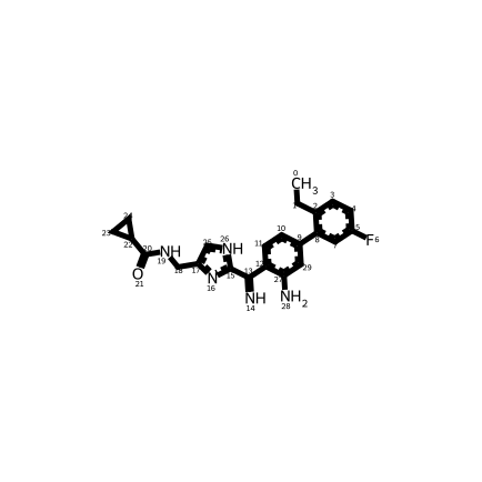 CCc1ccc(F)cc1-c1ccc(C(=N)c2nc(CNC(=O)C3CC3)c[nH]2)c(N)c1